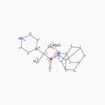 COC(=O)C12CC3CC(C1)C(NC(=O)C(C)(C)N1CCNCC1)C(C3)C2